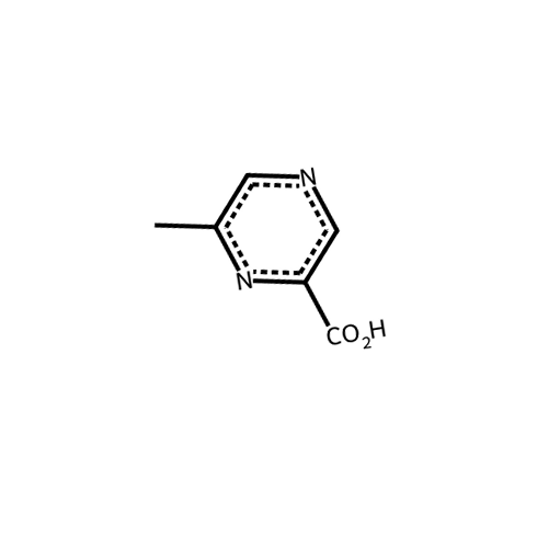 Cc1cncc(C(=O)O)n1